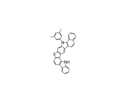 Cc1cc(C)cc(-n2c3cc4sc5ccc6c7ccccc7[nH]c6c5c4cc3c3ccc4ccccc4c32)c1